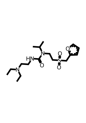 CCN(CC)CCNC(=O)N(CCS(=O)(=O)Cc1ccco1)C(C)C